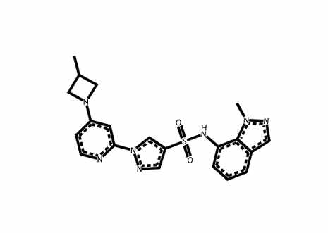 CC1CN(c2ccnc(-n3cc(S(=O)(=O)Nc4cccc5cnn(C)c45)cn3)c2)C1